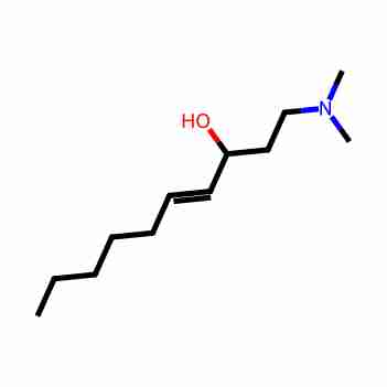 CCCCCC=CC(O)CCN(C)C